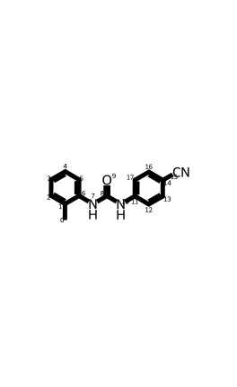 Cc1ccccc1NC(=O)Nc1ccc(C#N)cc1